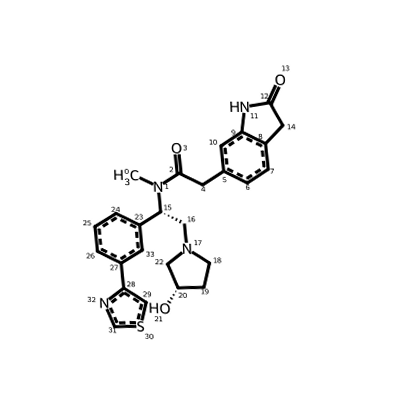 CN(C(=O)Cc1ccc2c(c1)NC(=O)C2)[C@H](CN1CC[C@H](O)C1)c1cccc(-c2cscn2)c1